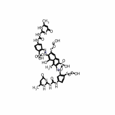 Cc1cc(=O)nc(NC(=O)Nc2ccc(SOOO)c(/N=N/c3c(S(=O)(=O)O)cc4cc(SOOO)c(/N=N/c5cc(NC(=O)Nc6nc(=O)cc(C)[nH]6)ccc5S(=O)(=O)O)c(O)c4c3N)c2)[nH]1